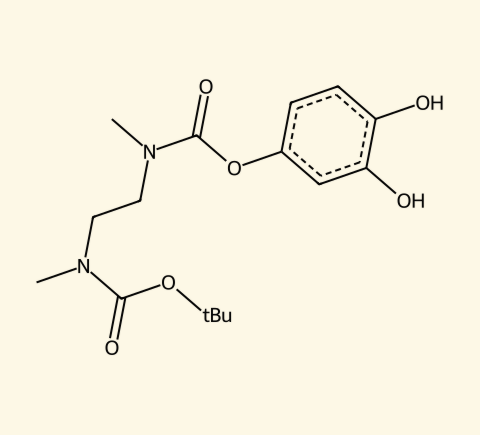 CN(CCN(C)C(=O)OC(C)(C)C)C(=O)Oc1ccc(O)c(O)c1